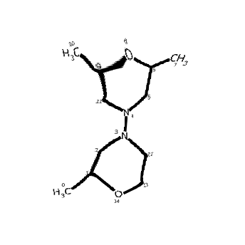 CC1CN(N2CC(C)OC(C)C2)CCO1